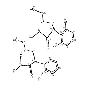 CCCOCCN(C(=O)C(Cl)CC)c1ccccc1CC.CCCOCCN(C(=O)CCl)c1c(CC)cccc1CC